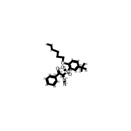 CCCCCCOc1ccc(C(C)(C)C)cc1S(=O)(=O)C(=[N+]=[N-])C(=O)c1ccccc1